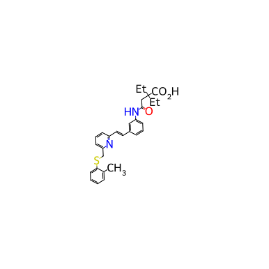 CCC(CC)(CC(=O)Nc1cccc(C=Cc2cccc(CSc3ccccc3C)n2)c1)C(=O)O